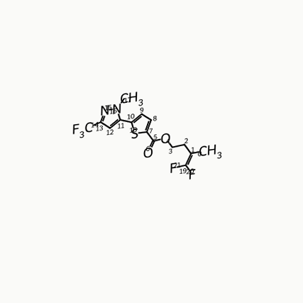 CC(CCOC(=O)c1ccc(-c2cc(C(F)(F)F)nn2C)s1)=C(F)F